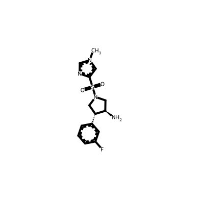 Cn1cnc(S(=O)(=O)N2C[C@@H](N)[C@H](c3cccc(F)c3)C2)c1